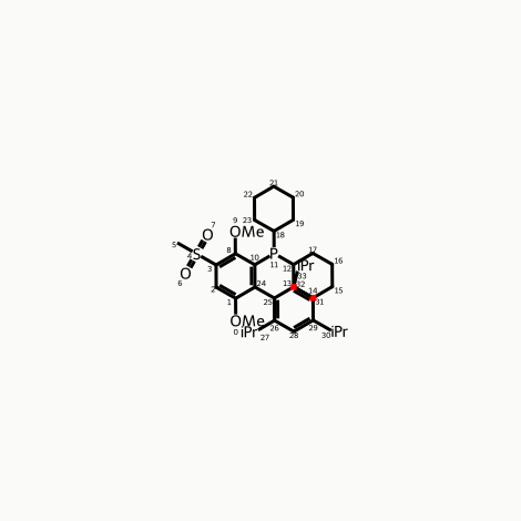 COc1cc(S(C)(=O)=O)c(OC)c(P(C2CCCCC2)C2CCCCC2)c1-c1c(C(C)C)cc(C(C)C)cc1C(C)C